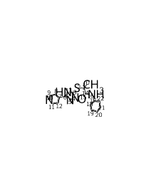 CC(Sc1nnc(-c2ccncc2)[nH]1)C(=O)Nc1ccccc1